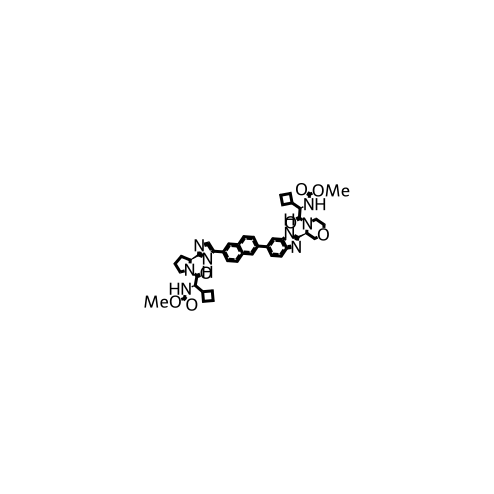 COC(=O)N[C@H](C(=O)N1CCC[C@H]1c1ncc(-c2ccc3cc(-c4ccc5nc([C@@H]6COCCN6C(=O)[C@@H](NC(=O)OC)C6CCC6)[nH]c5c4)ccc3c2)[nH]1)C1CCC1